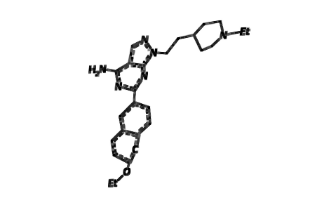 CCOc1ccc2cc(-c3nc(N)c4cnn(CCC5CCN(CC)CC5)c4n3)ccc2c1